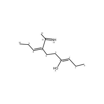 CCC=C(O)CCC(=CCC)C(C)=N